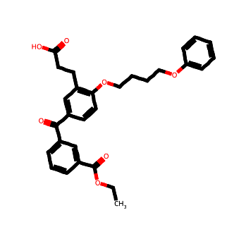 CCOC(=O)c1cccc(C(=O)c2ccc(OCCCCOc3ccccc3)c(CCC(=O)O)c2)c1